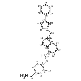 Cc1cc(CN)ccc1CNc1nccc2c1ccn2Cc1csc(-c2ccccc2)n1